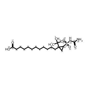 CC(C)(C)C1(CCCCCCCCCCCC(=O)O)CC1S(=O)(=O)NC(N)=O